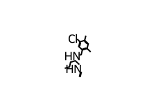 C=CNCC(CCC)NCc1cc(Cl)c(C)cc1C